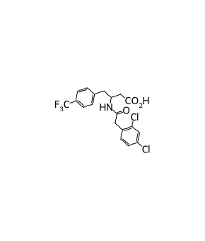 O=C(O)CC(Cc1ccc(C(F)(F)F)cc1)NC(=O)Cc1ccc(Cl)cc1Cl